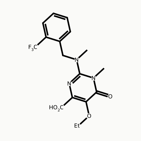 CCOc1c(C(=O)O)nc(N(C)Cc2ccccc2C(F)(F)F)n(C)c1=O